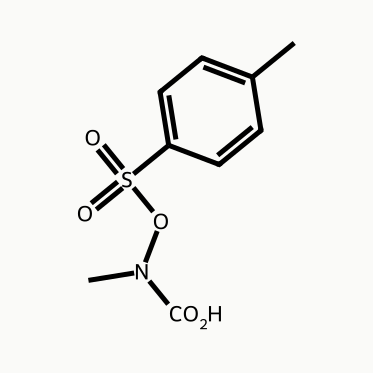 Cc1ccc(S(=O)(=O)ON(C)C(=O)O)cc1